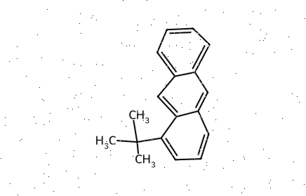 CC(C)(C)c1cccc2cc3ccccc3cc12